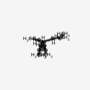 CCCCCC(=O)NCCCNC(=O)CCOCC(COCCC(=O)NCCCNC(=O)CCCCC)(COCCC(=O)NCCCNC(=O)CCCCC(C)(C)C)NC(=O)CCCCCCCCCCC(=O)NCCCCCCNC(=O)/C=C/C(C)(C)CCCC